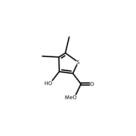 COC(=O)c1sc(C)c(C)c1O